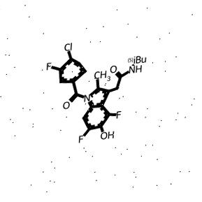 CC[C@H](C)NC(=O)Cc1c(C)n(C(=O)c2ccc(Cl)c(F)c2)c2cc(F)c(O)c(F)c12